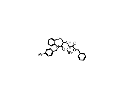 CC(C)C[C@H](NC1COc2ccccc2N(Cc2ccc(C(C)C)cc2)C1=O)C(=O)OCc1ccccc1